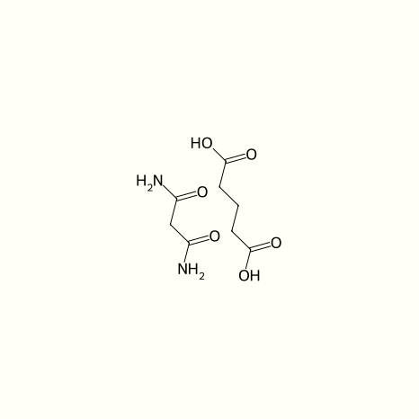 NC(=O)CC(N)=O.O=C(O)CCCC(=O)O